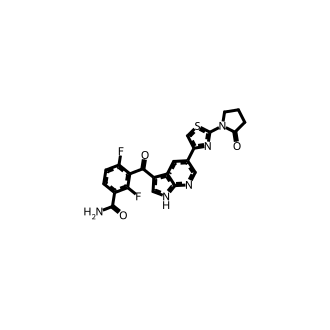 NC(=O)c1ccc(F)c(C(=O)c2c[nH]c3ncc(-c4csc(N5CCCC5=O)n4)cc23)c1F